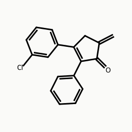 C=C1CC(c2cccc(Cl)c2)=C(c2ccccc2)C1=O